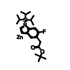 CC(C)[Si](C(C)C)(C(C)C)n1ccc2cc(CC(=O)OC(C)(C)C)c(F)cc21.[Zn]